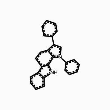 c1ccc(-c2cn(-c3ccccc3)c3c2ccc2c4ccccc4[nH]c23)cc1